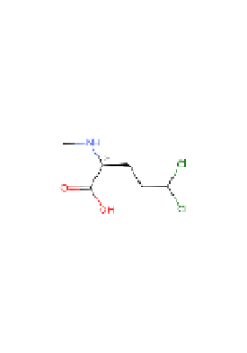 CN[C@@H](CCC(Cl)Cl)C(=O)O